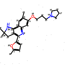 Cc1ccc(-c2nc3cc(OCCCN4CCCC4)c(C)cc3c3c2CC(C)(C)N3)o1